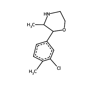 Cc1ccc(C2OCCNC2C)cc1Cl